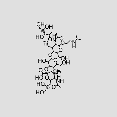 CC(=O)NC1C(OCCNC(C)C)OC(CO)C(OC2OC(CO)C(O)C(O[C@]3(C(=O)O)C[C@@H](O)C(NC(C)=O)C(C[C@H](O)CO)O3)C2O)C1C[C@@H](C)OC(C)C(O)[C@H](O)CO